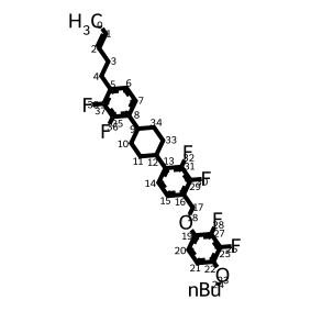 C/C=C/CCc1ccc(C2CCC(c3ccc(COc4ccc(OCCCC)c(F)c4F)c(F)c3F)CC2)c(F)c1F